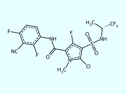 C[C@@H](NS(=O)(=O)c1c(F)c(C(=O)Nc2ccc(F)c(C#N)c2F)n(C)c1Cl)C(F)(F)F